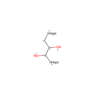 [CH2]CCCCCCC(O)C(O)CCCCCCCC